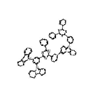 c1ccc(-c2nc(-c3ccccc3)nc(-c3cccc(-n4c5ccccc5c5cc(-c6cccc(-c7nc(-c8ccccc8)nc(-c8cc(-n9c%10ccccc%10c%10ccccc%109)cc(-n9c%10ccccc%10c%10ccccc%109)c8)n7)c6)ccc54)c3)n2)cc1